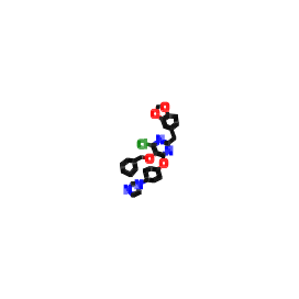 Clc1nc(Cc2ccc3c(c2)OCO3)nc(Oc2ccc(-n3ccnc3)cc2)c1OCc1ccccc1